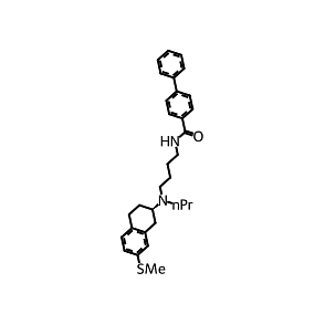 CCCN(CCCCNC(=O)c1ccc(-c2ccccc2)cc1)[C@@H]1CCc2ccc(SC)cc2C1